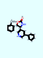 COc1ccccc1[C@@H]1OC(=O)N[C@H]1c1cncc(-c2ccccc2)c1